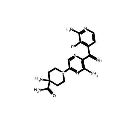 N=C(c1ccnc(N)c1Cl)c1ncc(N2CCC(N)(C(N)=O)CC2)nc1N